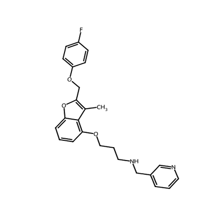 Cc1c(COc2ccc(F)cc2)oc2cccc(OCCCNCc3cccnc3)c12